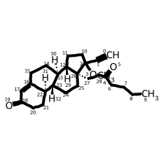 C#CC1(OC(=O)CCCC)CC[C@H]2[C@@H]3CCC4=CC(=O)CC[C@@H]4[C@H]3CC[C@@]21CC